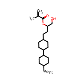 C=C(C)C(=O)OC(CO)CCC1CCC(C2CCC(CCCCCCC)CC2)CC1